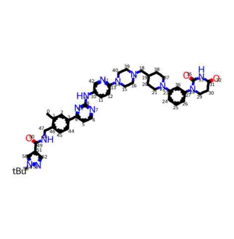 Cc1cc(-c2ccnc(Nc3ccc(N4CCN(CC5CCN(c6cccc(N7CCC(=O)NC7=O)c6)CC5)CC4)nc3)n2)ccc1CNC(=O)c1cnn(C(C)(C)C)c1